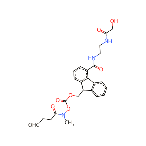 CN(OC(=O)OCC1c2ccccc2-c2c(C(=O)NCCNC(=O)CO)cccc21)C(=O)CCC=O